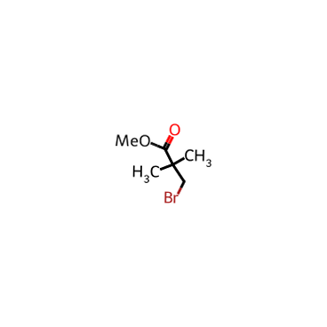 [CH2]OC(=O)C(C)(C)CBr